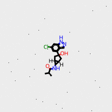 CC(C)C(=O)NC1[C@H]2CC(O)(c3cc(Cl)cc4[nH]ncc34)C[C@@H]12